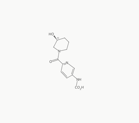 O=C(O)Nc1ccc(C(=O)N2CCC[C@H](O)C2)nc1